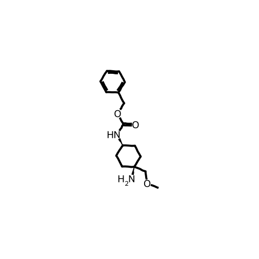 COC[C@]1(N)CC[C@@H](NC(=O)OCc2ccccc2)CC1